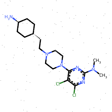 CN(C)c1nc(Cl)c(Cl)c(N2CCN(CC[C@H]3CC[C@H](N)CC3)CC2)n1